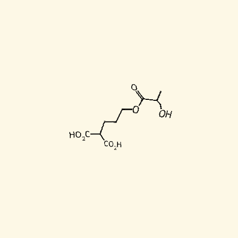 CC(O)C(=O)OCCCC(C(=O)O)C(=O)O